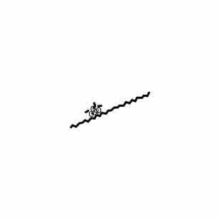 CCCCCCCCCCCCCCCCCCC(CCCCCCCCC)[Si](OCC)(OCC)OCC